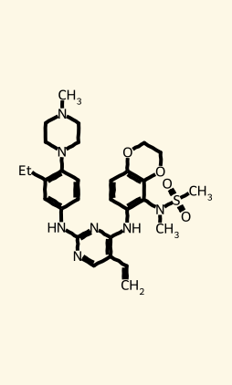 C=Cc1cnc(Nc2ccc(N3CCN(C)CC3)c(CC)c2)nc1Nc1ccc2c(c1N(C)S(C)(=O)=O)OCCO2